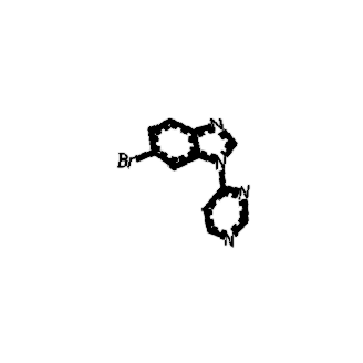 Brc1ccc2ncn(-c3ccncn3)c2c1